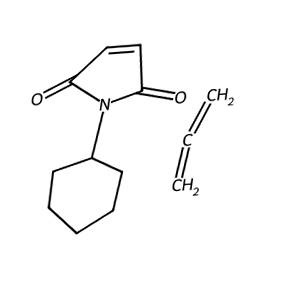 C=C=C.O=C1C=CC(=O)N1C1CCCCC1